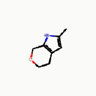 Cc1cc2c([nH]1)COCC2